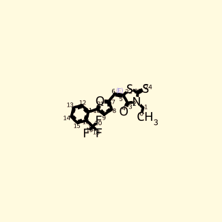 CCN1C(=O)/C(=C\c2ccc(-c3ccccc3C(F)(F)F)o2)SC1=S